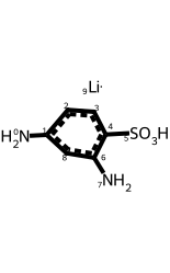 Nc1ccc(S(=O)(=O)O)c(N)c1.[Li]